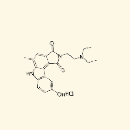 CCN(CC)CCN1C(=O)c2cc(C)c3[nH]c4ccc(O)cc4c3c2C1=O.Cl